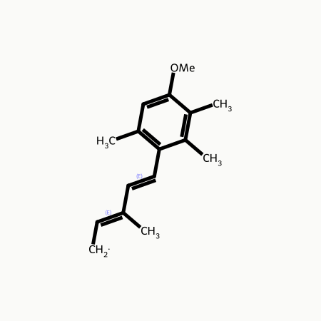 [CH2]/C=C(C)/C=C/c1c(C)cc(OC)c(C)c1C